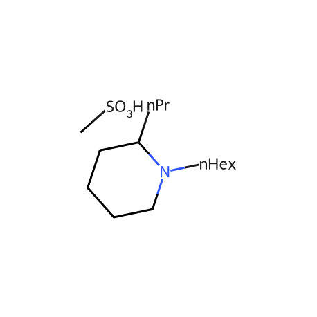 CCCCCCN1CCCCC1CCC.CS(=O)(=O)O